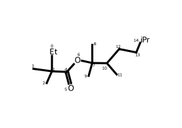 CCC(C)(C)C(=O)OC(C)(C)C(C)CCC(C)C